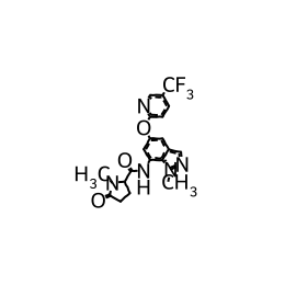 CN1C(=O)CCC1C(=O)Nc1cc(Oc2ccc(C(F)(F)F)cn2)cc2cnn(C)c12